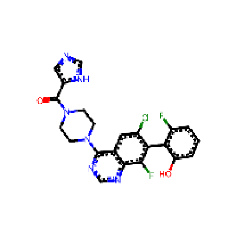 O=C(c1cnc[nH]1)N1CCN(c2ncnc3c(F)c(-c4c(O)cccc4F)c(Cl)cc23)CC1